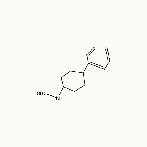 O=CNC1CCC(c2ccccc2)CC1